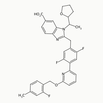 Cc1ccc(COc2cccc(-c3cc(F)c(Cc4nc5ccc(C(=O)O)cc5n4C(C)C4CCCO4)cc3F)n2)c(F)c1